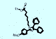 CCOC(=C=O)CCCCCCn1c(-c2ccc(OC)cc2)nc(-c2ccccc2)c1-c1ccccc1